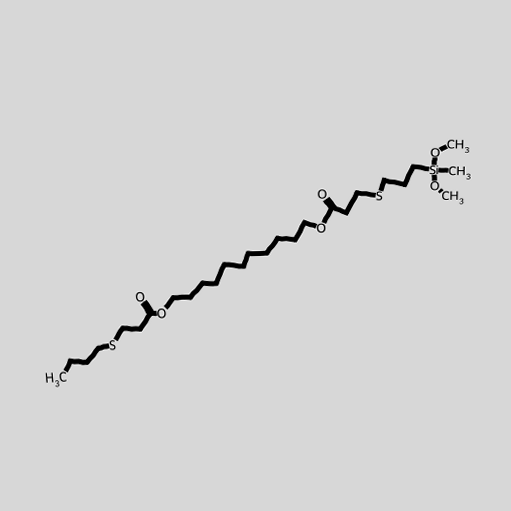 CCCCSCCC(=O)OCCCCCCCCCCCOC(=O)CCSCCC[Si](C)(OC)OC